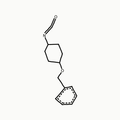 O=C=NC1CCC(OCc2ccccc2)CC1